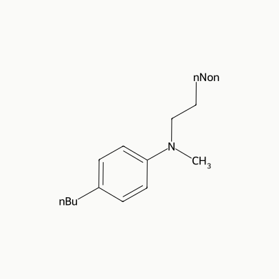 CCCCCCCCCCCN(C)c1ccc(CCCC)cc1